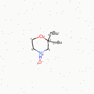 CCCCC1(CCCC)C[NH+]([O-])CCO1